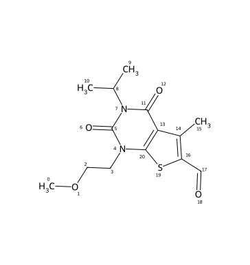 COCCn1c(=O)n(C(C)C)c(=O)c2c(C)c(C=O)sc21